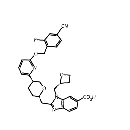 N#Cc1ccc(COc2cccc([C@@H]3CC[C@H](Cc4nc5ccc(C(=O)O)cc5n4C[C@@H]4CCO4)OC3)n2)c(F)c1